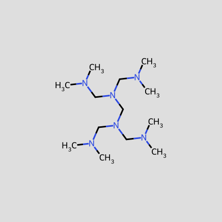 CN(C)CN(CN(C)C)CN(CN(C)C)CN(C)C